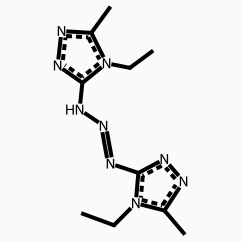 CCn1c(C)nnc1N=NNc1nnc(C)n1CC